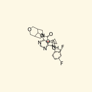 CC1(OC(=O)N2CC3COCC(C2)C3Oc2ncnc3c2ccn3-c2ccc(F)cc2F)CC1